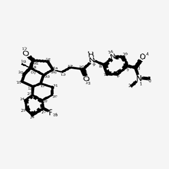 CN(C)C(=O)c1ccc(NC(=O)CC[C@@H]2CC(=O)[C@@]3(C)CCC4c5cccc(F)c5CCC4C23)nc1